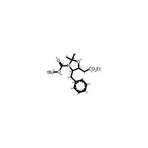 CCOC(=O)CC1OC(C)(C)N(C(=O)OC(C)(C)C)C1Cc1ccccc1